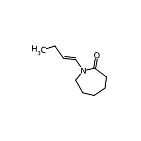 CCC=CN1CCCCCC1=O